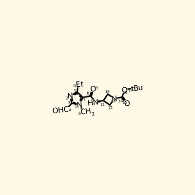 CCc1nc(C=O)n(C)c1C(=O)NC1CN(C(=O)OC(C)(C)C)C1